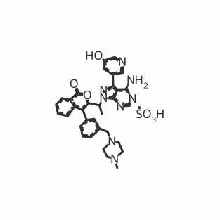 CC(c1oc(=O)c2ccccc2c1-c1cccc(CN2CCN(C)CC2)c1)n1nc(-c2cncc(O)c2)c2c(N)ncnc21.CS(=O)(=O)O